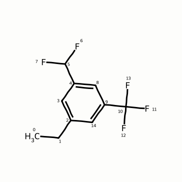 CCc1cc(C(F)F)cc(C(F)(F)F)c1